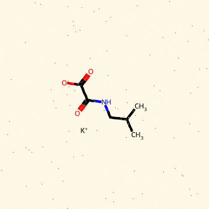 CC(C)CNC(=O)C(=O)[O-].[K+]